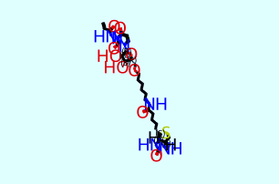 C=CC(=O)Nn1c(=O)ccn([C@@H]2O[C@H](COCCCCCCNC(=O)CCCC[C@@H]3SC[C@@H]4NC(=O)N[C@@H]43)[C@@H](O)[C@H]2O)c1=O